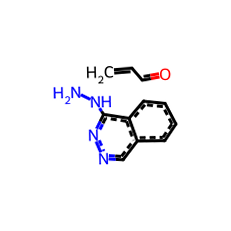 C=CC=O.NNc1nncc2ccccc12